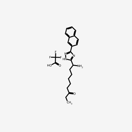 CCC(=O)CCCCCC(N)c1nc(-c2ccc3ccccc3c2)n[nH]1.O=C(O)C(F)(F)F